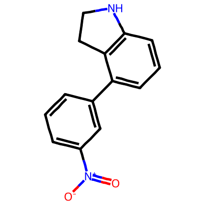 O=[N+]([O-])c1cccc(-c2cccc3c2CCN3)c1